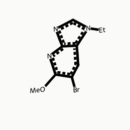 CCn1cnc2nc(OC)c(Br)cc21